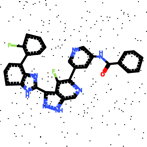 O=C(Nc1cncc(-c2ncc3[nH]nc(-c4nc5c(-c6ccccc6F)cccc5[nH]4)c3c2F)c1)c1ccccc1